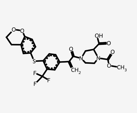 C=C(C(=O)N1CCN(C(=O)OC)C(C(=O)O)C1)c1ccc(Sc2ccc3c(c2)CCOO3)c(C(F)(F)F)c1